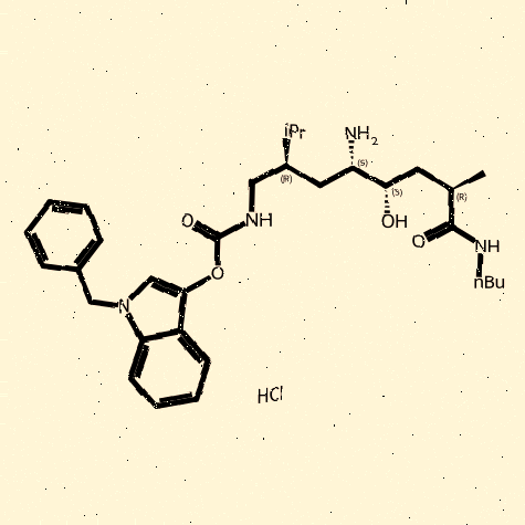 CCCCNC(=O)[C@H](C)C[C@H](O)[C@@H](N)C[C@@H](CNC(=O)Oc1cn(Cc2ccccc2)c2ccccc12)C(C)C.Cl